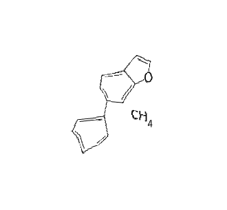 C.c1ccc(-c2ccc3ccoc3c2)cc1